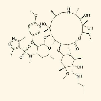 CCCNC[C@]1(O)[C@H](C)OC(O[C@H]2[C@H](C)[C@@H](O[C@@H]3O[C@H](C)C[C@H](N(C)S(=O)(=O)c4c(C)noc4C)[C@H]3Oc3ccc(OC)cc3)[C@](C)(O)C[C@@H](C)CN[C@H](C)[C@@H](O)[C@](C)(O)[C@@H](CC)OC(=O)[C@@H]2C)C[C@@]1(C)OC